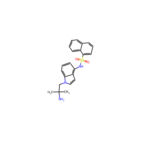 CC(C)(N)Cn1ccc2c(NS(=O)(=O)c3cccc4ccccc34)cccc21